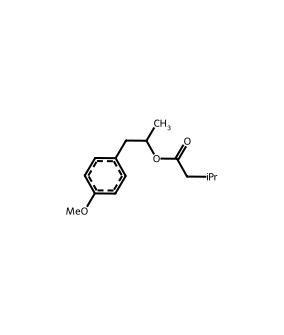 COc1ccc(CC(C)OC(=O)CC(C)C)cc1